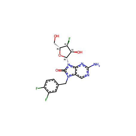 Nc1ncc2c(n1)n([C@@H]1O[C@H](CO)[C@@H](F)[C@H]1O)c(=O)n2Cc1ccc(F)c(F)c1